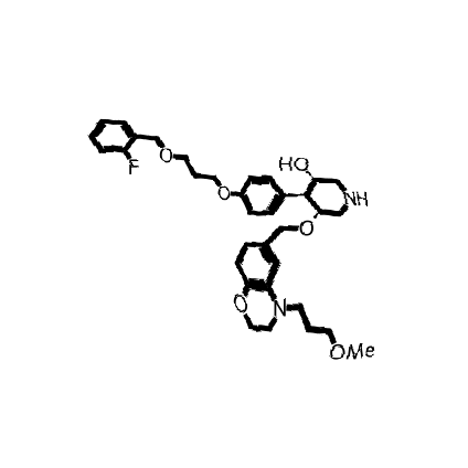 COCCCN1CCOc2ccc(CO[C@H]3CNC[C@@H](O)[C@@H]3c3ccc(OCCCOCc4ccccc4F)cc3)cc21